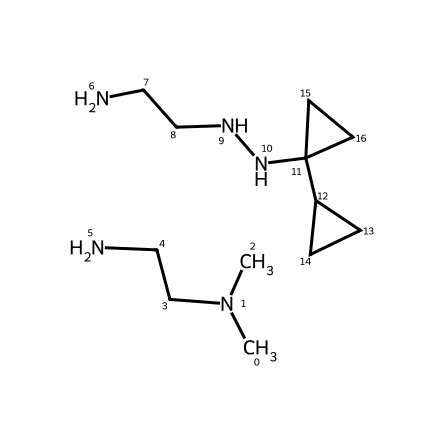 CN(C)CCN.NCCNNC1(C2CC2)CC1